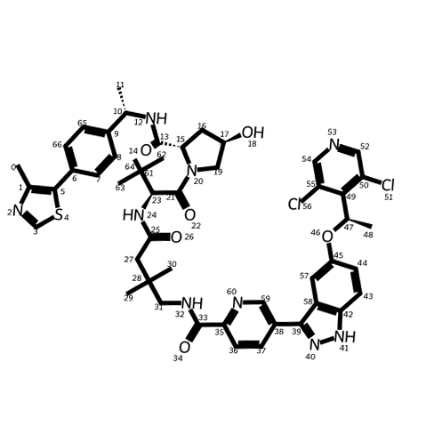 Cc1ncsc1-c1ccc([C@H](C)NC(=O)[C@@H]2C[C@@H](O)CN2C(=O)[C@@H](NC(=O)CC(C)(C)CNC(=O)c2ccc(-c3n[nH]c4ccc(O[C@H](C)c5c(Cl)cncc5Cl)cc34)cn2)C(C)(C)C)cc1